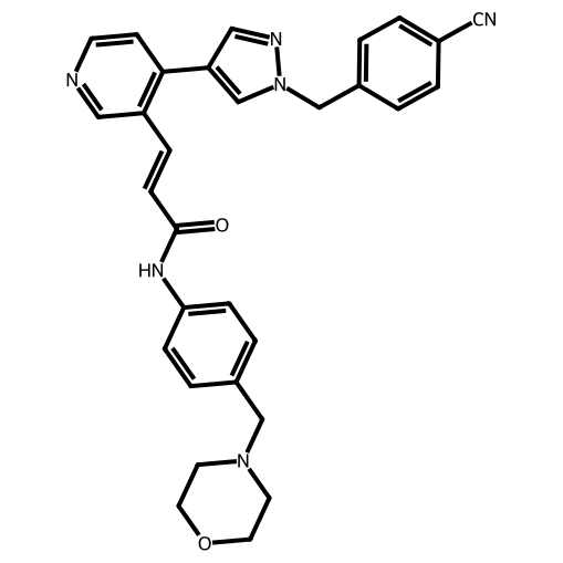 N#Cc1ccc(Cn2cc(-c3ccncc3/C=C/C(=O)Nc3ccc(CN4CCOCC4)cc3)cn2)cc1